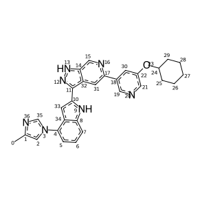 Cc1cn(-c2cccc3[nH]c(-c4n[nH]c5cnc(-c6cncc(OC7CCCCC7)c6)cc45)cc23)cn1